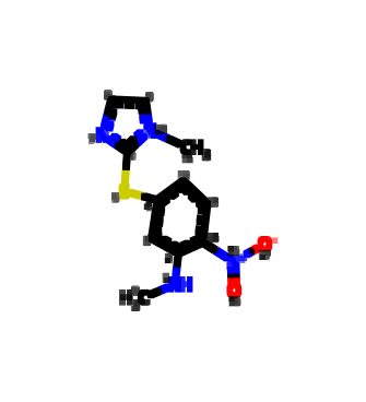 CNc1cc(Sc2nccn2C)ccc1[N+](=O)[O-]